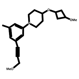 COCC#Cc1cc(C)cc(N2CCC(OC3CC(OC)C3)CC2)c1